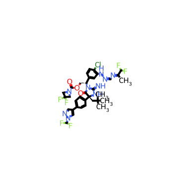 C/C(=N\C=N/Nc1cc([C@@H](COC(=O)N2CC(F)(F)C2)N2C(=N)N[C@](CC(C)(C)C)(c3ccc(-c4cnn(C(F)F)c4)cc3)C2=O)ccc1Cl)C(F)F